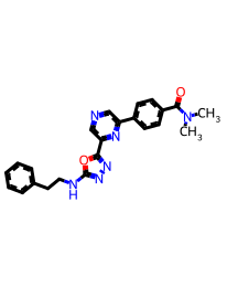 CN(C)C(=O)c1ccc(-c2cncc(-c3nnc(NCCc4ccccc4)o3)n2)cc1